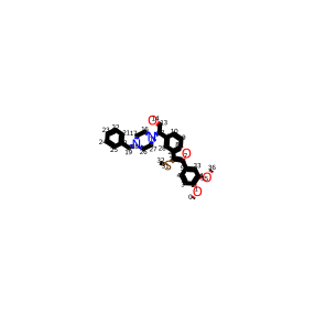 COc1ccc(-c2oc3ccc(C(C=O)N4CCN(Cc5ccccc5)CC4)cc3c2SC)cc1OC